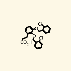 O=C(O)CCc1cccc(OCc2ccccc2Cl)c1OCc1ccccc1Cl